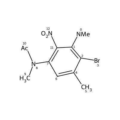 CNc1c(Br)c(C)cc(N(C)C(C)=O)c1[N+](=O)[O-]